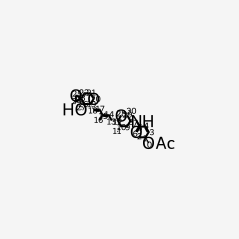 CC(=O)O[C@@H](C)/C=C\C(=O)N[C@@H]1C[C@H](C)[C@H](C/C=C(C)/C=C/[C@H]2OCCC3(CO3)[C@H]2O)O[C@@H]1C